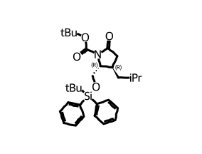 CC(C)C[C@@H]1CC(=O)N(C(=O)OC(C)(C)C)[C@H]1CO[Si](c1ccccc1)(c1ccccc1)C(C)(C)C